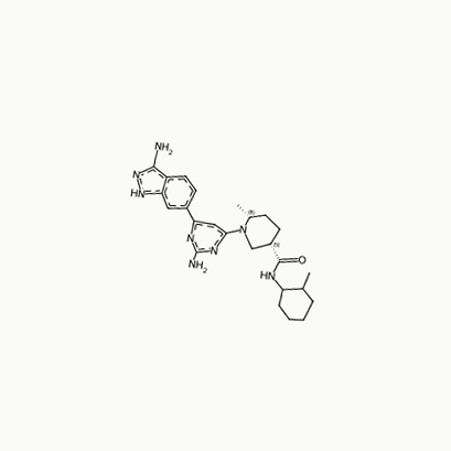 CC1CCCCC1NC(=O)[C@H]1CC[C@@H](C)N(c2cc(-c3ccc4c(N)n[nH]c4c3)nc(N)n2)C1